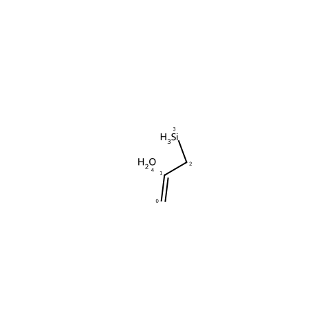 C=CC[SiH3].O